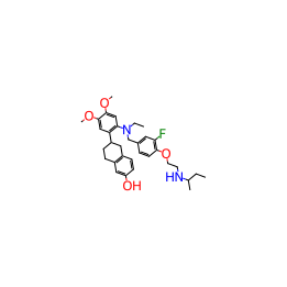 CCC(C)NCCOc1ccc(CN(CC)c2cc(OC)c(OC)cc2C2CCc3cc(O)ccc3C2)cc1F